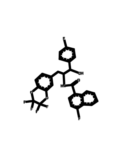 O=C(NC(Cc1ccc2c(c1)OC(F)(F)C(F)(F)O2)C(O)c1ccc(F)cc1)c1ccc(F)c2ccccc12